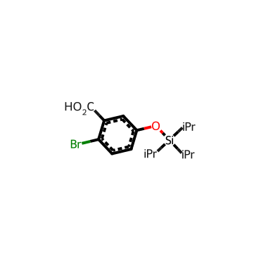 CC(C)[Si](Oc1ccc(Br)c(C(=O)O)c1)(C(C)C)C(C)C